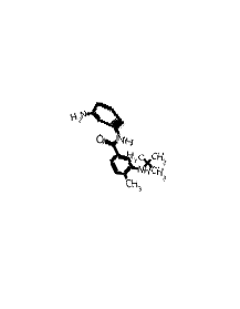 Cc1ccc(C(=O)Nc2cccc(N)c2)cc1NC(C)(C)C